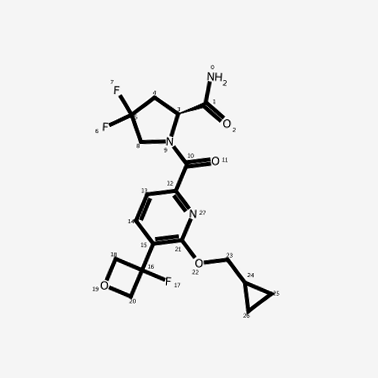 NC(=O)[C@@H]1CC(F)(F)CN1C(=O)c1ccc(C2(F)COC2)c(OCC2CC2)n1